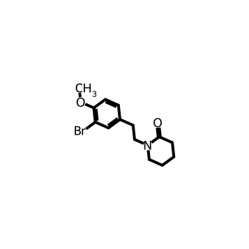 COc1ccc(CCN2CCCCC2=O)cc1Br